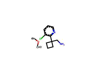 CC(C)(C)OC=O.NCC1(c2ncccc2Cl)CCC1